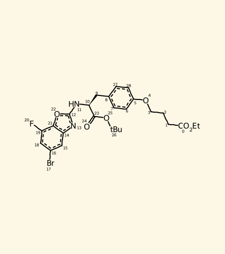 CCOC(=O)CCCOc1ccc(C[C@H](Nc2nc3cc(Br)cc(F)c3o2)C(=O)OC(C)(C)C)cc1